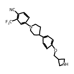 N#Cc1ccc(N2CCC(c3ccc(OCC4CNC4)cc3)CC2)cc1C(F)(F)F